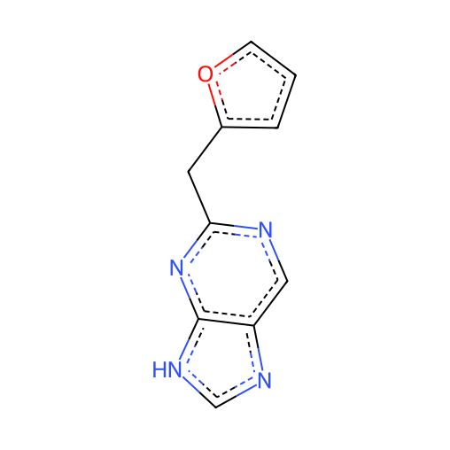 c1coc(Cc2ncc3nc[nH]c3n2)c1